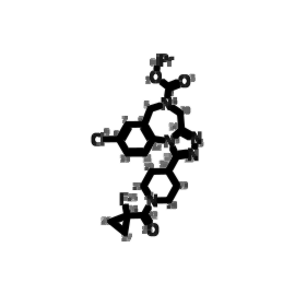 CC(C)OC(=O)N1Cc2cc(Cl)ccc2-n2c(nnc2C2CCN(C(=O)C3(F)CC3)CC2)C1